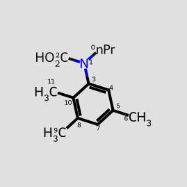 CCCN(C(=O)O)c1cc(C)cc(C)c1C